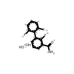 Cl.Cl.NC(=O)c1cccc(-c2c(F)cccc2F)c1F